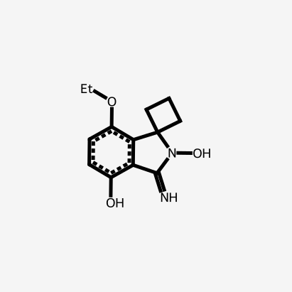 CCOc1ccc(O)c2c1C1(CCC1)N(O)C2=N